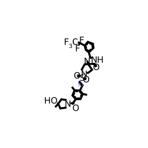 Cc1cc(C(=O)N2CCC(C)(O)CC2)cc(C)c1/C=C/S(=O)(=O)N1CCC2(CC1)N=C(c1cccc(C(F)(F)C(F)(F)F)c1)NC2=O